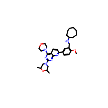 COc1ccc(-c2ccc3c(N4CCOCC4)nc(N4CC(C)OC(C)C4)nc3n2)cc1CNC1CCCCCCC1